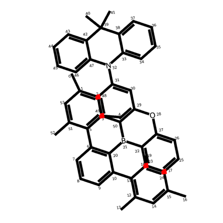 Cc1cc(C)c(-c2cccc(-c3c(C)cc(C)cc3C)c2B2c3ccccc3Oc3cc(N4c5ccccc5C(C)(C)c5ccccc54)ccc32)c(C)c1